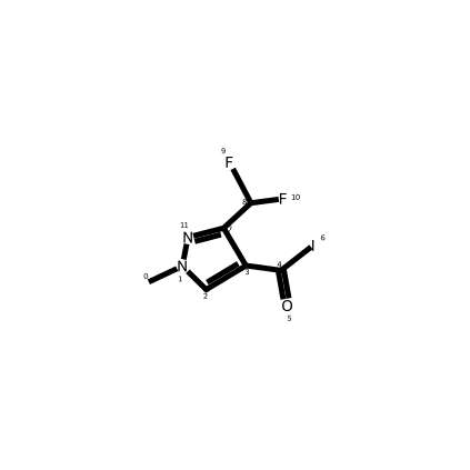 Cn1cc(C(=O)I)c(C(F)F)n1